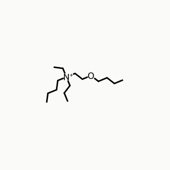 CCCCOCC[N+](CC)(CCC)CCCC